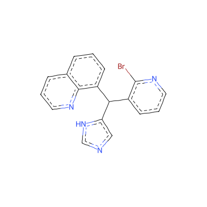 Brc1ncccc1C(c1cnc[nH]1)c1cccc2cccnc12